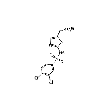 CCOC(=O)Cc1cnc(NS(=O)(=O)c2ccc(Cl)c(Cl)c2)s1